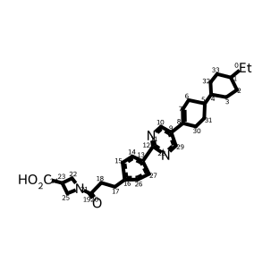 CCC1CCC(C2CC=C(c3cnc(-c4ccc(CCC(=O)N5CC(C(=O)O)C5)cc4)nc3)CC2)CC1